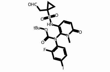 Cn1c(N(C(=O)OC(C)(C)C)c2ccc(I)cc2F)c(NS(=O)(=O)C2(CC=O)CC2)ccc1=O